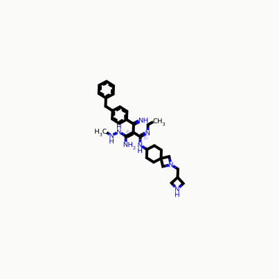 CC/N=C(NC1CCC2(CC1)CN(CC1CNC1)C2)\C(C(=N)c1ccc(Cc2ccccc2)cc1)=C(/N)NNC